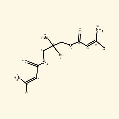 CCCCC(CC)(COC(=O)C=C(C)N)COC(=O)C=C(C)N